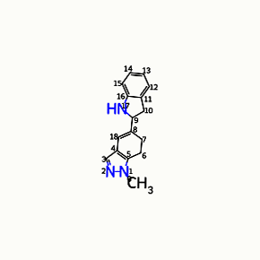 Cn1ncc2c1CCC(C1Cc3ccccc3N1)=C2